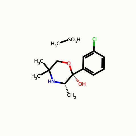 CS(=O)(=O)O.C[C@@H]1NC(C)(C)CO[C@@]1(O)c1cccc(Cl)c1